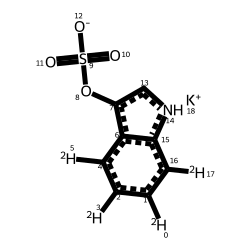 [2H]c1c([2H])c([2H])c2c(OS(=O)(=O)[O-])c[nH]c2c1[2H].[K+]